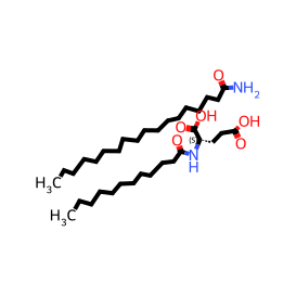 CCCCCCCCCCCC(=O)N[C@@H](CCC(=O)O)C(=O)O.CCCCCCCCCCCCCCCCCC(N)=O